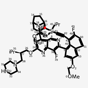 COCOc1cc(-c2ncc3c(N4CC5CCC(C4)N5C(=O)OC(C)(C)C)nc(OC[C@@H](CN4CCNCC4)C(C)C)nc3c2F)c2c(C#C[Si](C(C)C)(C(C)C)C(C)C)c(F)ccc2c1